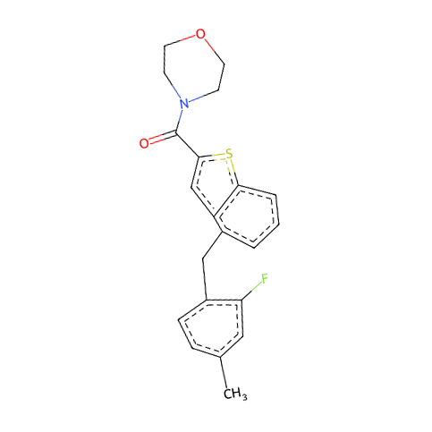 Cc1ccc(Cc2cccc3sc(C(=O)N4CCOCC4)cc23)c(F)c1